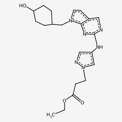 CCOC(=O)CCn1cc(Nc2ncc3ccn(CC4CCC(O)CC4)c3n2)cn1